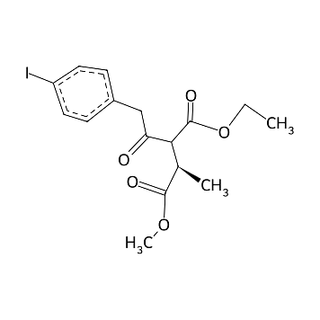 CCOC(=O)C(C(=O)Cc1ccc(I)cc1)[C@@H](C)C(=O)OC